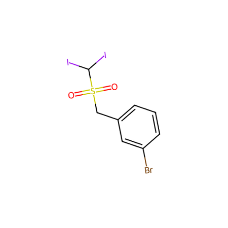 O=S(=O)(Cc1cccc(Br)c1)C(I)I